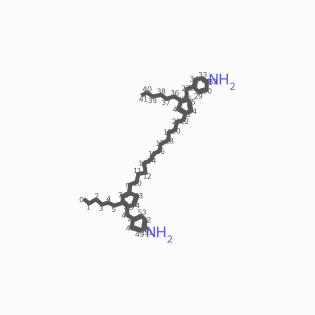 CCCCCCc1cc(CCCCCCCCCCCCCCc2ccc(Cc3ccc(N)cc3)c(CCCCCC)c2)ccc1Cc1ccc(N)cc1